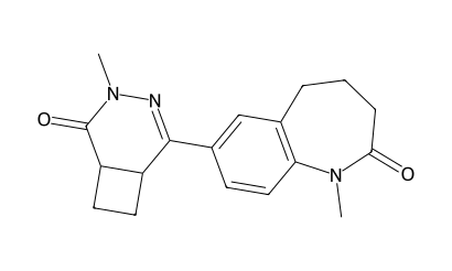 CN1N=C(c2ccc3c(c2)CCCC(=O)N3C)C2CCC2C1=O